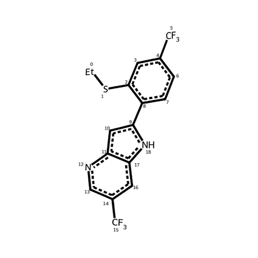 CCSc1cc(C(F)(F)F)ccc1-c1cc2ncc(C(F)(F)F)cc2[nH]1